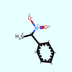 O=[N+]([O-])C([SiH3])c1ccccc1